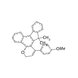 COc1ccc(C2=CCOc3c2c2c(c4ccccc34)-c3ccccc3C2(C)C)cc1